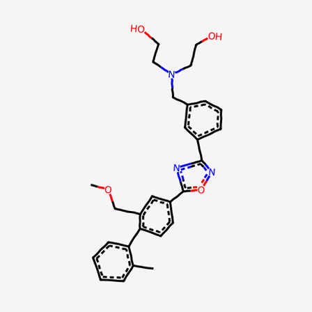 COCc1cc(-c2nc(-c3cccc(CN(CCO)CCO)c3)no2)ccc1-c1ccccc1C